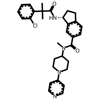 CN(C(=O)c1ccc2c(c1)[C@H](NC(=O)C(C)(C)c1ccccc1Cl)CC2)C1CCN(c2ccncc2)CC1